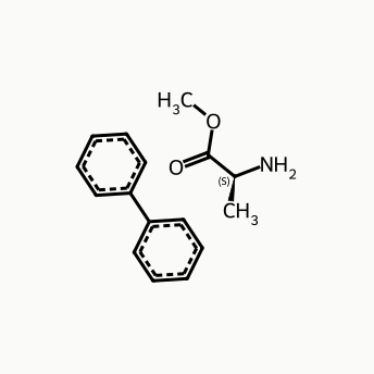 COC(=O)[C@H](C)N.c1ccc(-c2ccccc2)cc1